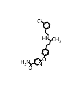 CC(CCc1ccc(Oc2ccc(C(N)=O)cn2)cc1)NCCc1cccc(Cl)c1